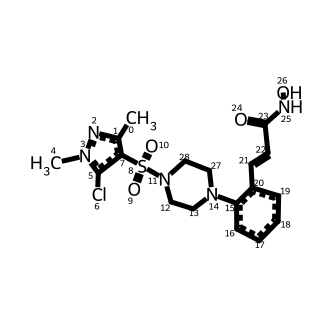 Cc1nn(C)c(Cl)c1S(=O)(=O)N1CCN(c2ccccc2C=CC(=O)NO)CC1